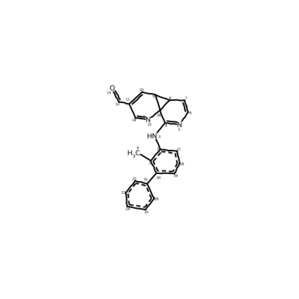 Cc1c(NC2=NC=CC3C4C=C(C=O)C=NC234)cccc1-c1ccccc1